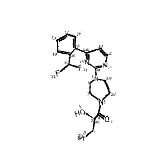 CC(C)C[C@@H](O)C(=O)N1CCN(c2nccc(-c3ccccc3C(F)F)n2)CC1